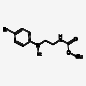 CCN(CCNC(=O)OC(C)(C)C)c1ccc(Br)cc1